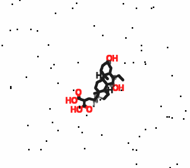 CC[C@@H]1C2C[C@H](O)CCC2(C)[C@H]2CCC3(C)[C@@H]([C@H](C)CC(C(=O)O)C(=O)O)CC[C@H]3C2[C@@H]1O